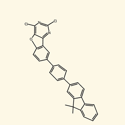 CC1(C)c2ccccc2-c2ccc(-c3ccc(-c4ccc5oc6c(Cl)nc(Cl)nc6c5c4)cc3)cc21